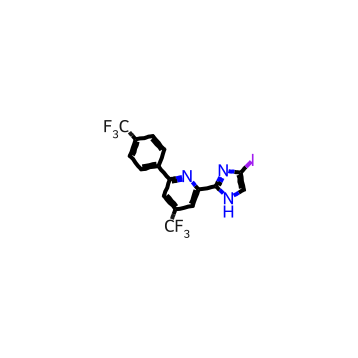 FC(F)(F)c1ccc(-c2cc(C(F)(F)F)cc(-c3nc(I)c[nH]3)n2)cc1